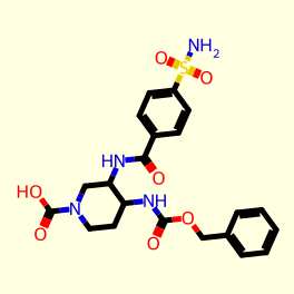 NS(=O)(=O)c1ccc(C(=O)NC2CN(C(=O)O)CCC2NC(=O)OCc2ccccc2)cc1